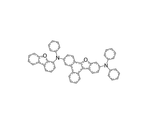 c1ccc(N(c2ccccc2)c2ccc3c(c2)oc2c4ccc(N(c5ccccc5)c5cccc6c5oc5ccccc56)cc4c4ccccc4c32)cc1